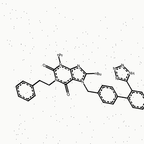 CCCCc1nc2c(c(=O)n(CCc3ccccc3)c(=O)n2CCC)n1Cc1ccc(-c2ccccc2-c2nnn[nH]2)cc1